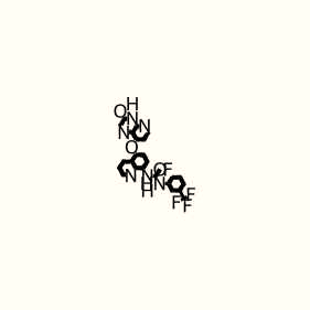 O=C(Nc1cc(C(F)(F)F)ccc1F)Nc1ccc(Oc2ccnc3[nH]c(=O)cnc23)c2cccnc12